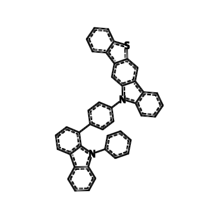 c1ccc(-n2c3ccccc3c3cccc(-c4ccc(-n5c6ccccc6c6cc7sc8ccccc8c7cc65)cc4)c32)cc1